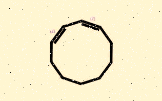 [CH]1C/C=C\C=C/CCCC1